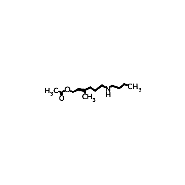 CCCCNCCC/C(C)=C/COC(C)=O